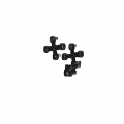 O=P([O-])([O-])O.O=S(=O)([O-])[O-].[Ca+2].[Mg+2]